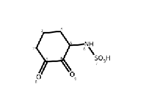 O=C1CCCC(NS(=O)(=O)O)C1=O